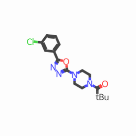 CC(C)(C)C(=O)N1CCN(c2nnc(-c3cccc(Cl)c3)o2)CC1